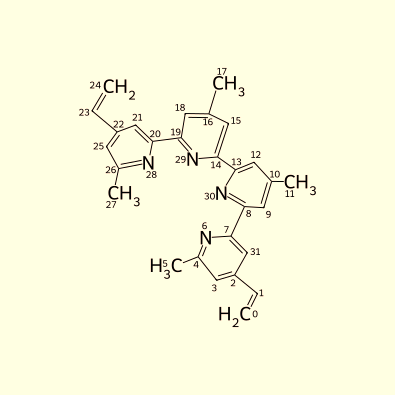 C=Cc1cc(C)nc(-c2cc(C)cc(-c3cc(C)cc(-c4cc(C=C)cc(C)n4)n3)n2)c1